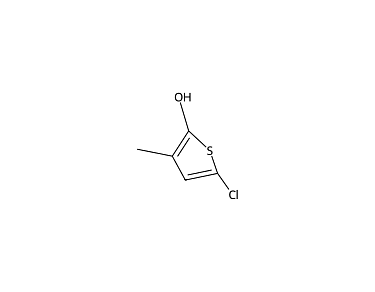 Cc1cc(Cl)sc1O